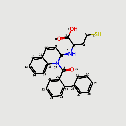 O=C(O)C(CCS)N[C@@H]1C=Cc2ccccc2N1C(=O)c1ccccc1-c1ccccc1